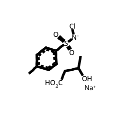 CC(O)CC(=O)O.Cc1ccc(S(=O)(=O)[N-]Cl)cc1.[Na+]